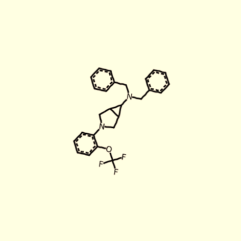 FC(F)(F)Oc1ccccc1N1CC2C(C1)C2N(Cc1ccccc1)Cc1ccccc1